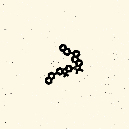 Cc1c(C)n(-c2ccc3c(c2)C(C)(C)c2cc(-c4ccc5ccccc5c4)ccc2-3)c2c1ccc1c3cccc(-c4ccc5ccccc5c4)c3ccc12